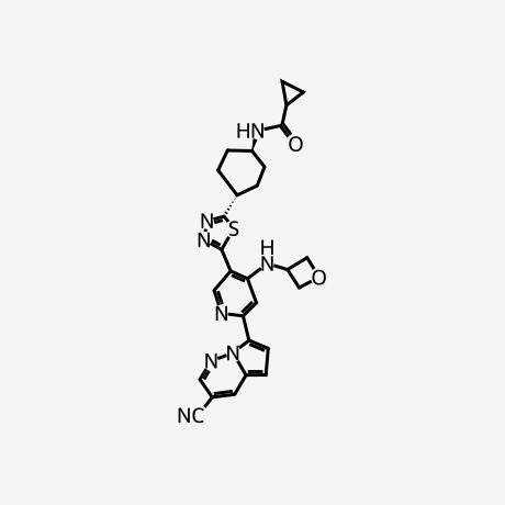 N#Cc1cnn2c(-c3cc(NC4COC4)c(-c4nnc([C@H]5CC[C@H](NC(=O)C6CC6)CC5)s4)cn3)ccc2c1